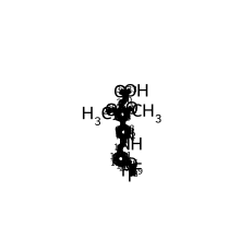 COc1cc(-c2ccc(NCc3cccc(OC(F)(F)F)c3)nc2)cc(OC)c1CCC(=O)O